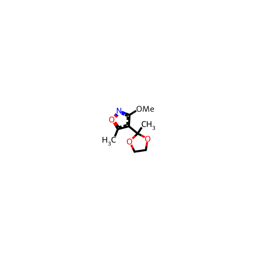 COc1noc(C)c1C1(C)OCCO1